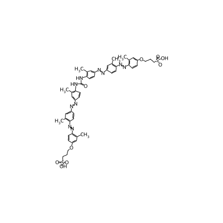 Cc1cc(N=Nc2ccc(NC(=O)Nc3ccc(N=Nc4ccc(N=Nc5ccc(OCCCS(=O)(=O)O)cc5C)c(C)c4)cc3C)c(C)c2)ccc1N=Nc1ccc(OCCCS(=O)(=O)O)cc1C